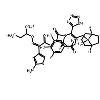 C[N+]1(CC2=C(c3nnn[nH]3)N3C(=O)[C@@H](NC(=O)/C(=N\O[C@@H](CC(=O)O)C(=O)O)c4csc(N)n4)[C@H]3SC2)[C@@H]2CC[C@H]1C[C@@H](NC(=O)c1cc(O)c(O)c(F)c1)C2